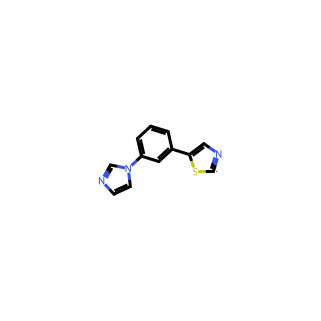 [c]1ncc(-c2cccc(-n3ccnc3)c2)s1